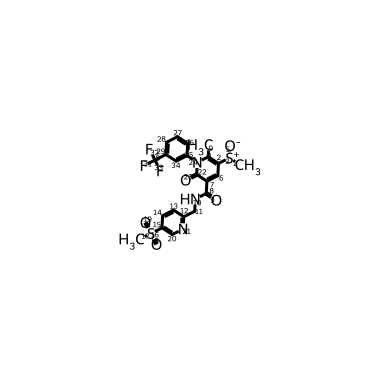 Cc1c([S+](C)[O-])cc(C(=O)NCc2ccc(S(C)(=O)=O)cn2)c(=O)n1-c1cccc(C(F)(F)F)c1